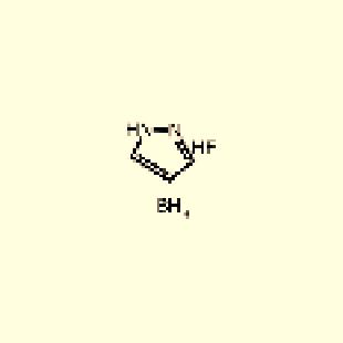 B.F.c1cn[nH]c1